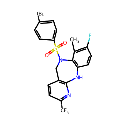 Cc1c(F)ccc2c1N(S(=O)(=O)c1ccc(C(C)(C)C)cc1)Cc1ccc(C(F)(F)F)nc1N2